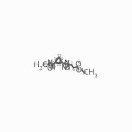 CCCOC(=O)CCc1nc(-c2cccc(-c3noc(C)n3)c2)no1